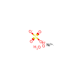 O.O=S(=O)([O-])[O-].[Ni+3].[OH-]